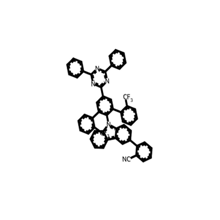 N#Cc1ccccc1-c1ccc2c(c1)c1ccccc1n2-c1c(-c2ccccc2C(F)(F)F)cc(-c2nc(-c3ccccc3)nc(-c3ccccc3)n2)cc1-c1ccccc1C(F)(F)F